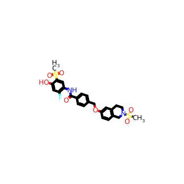 CS(=O)(=O)c1cc(NC(=O)c2ccc(COc3ccc4c(c3)CCN(S(C)(=O)=O)C4)cc2)c(F)cc1O